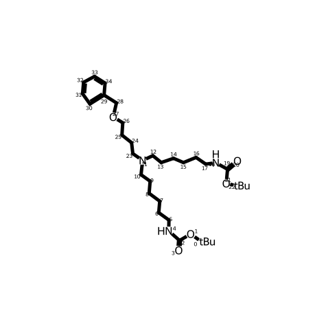 CC(C)(C)OC(=O)NCCCCCCN(CCCCCCNC(=O)OC(C)(C)C)CCCCOCc1ccccc1